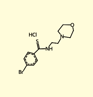 Cl.S=C(NCCN1CCOCC1)c1ccc(Br)cc1